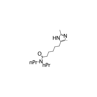 CCCN(CCC)C(=O)CCCCCc1[c]nc(C)[nH]1